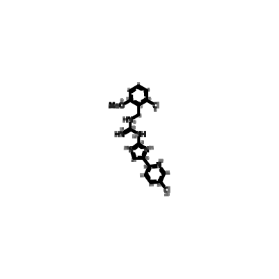 COc1cccc(Cl)c1CNC(=N)Nc1nc(-c2ccc(Cl)cn2)cs1